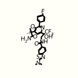 CN(C)c1nc2ccc(C(=O)NCC(O)(c3cc4c(c(-c5ccc(F)cc5)n3)OC[C@]4(C)C(N)=O)C(F)(F)F)cc2s1